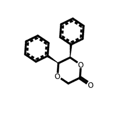 O=C1CO[C@@H](c2ccccc2)[C@@H](c2ccccc2)O1